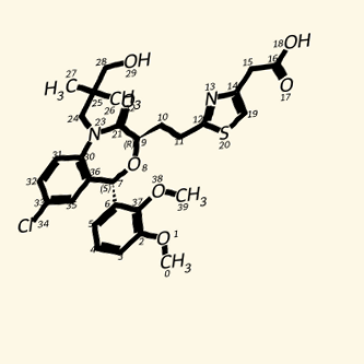 COc1cccc([C@H]2O[C@H](CCc3nc(CC(=O)O)cs3)C(=O)N(CC(C)(C)CO)c3ccc(Cl)cc32)c1OC